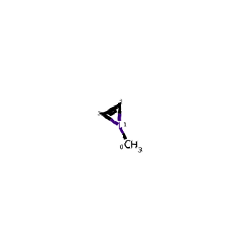 CI1C=C1